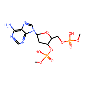 COP(=O)(O)OCC1OC(n2cnc3c(N)ncnc32)CC1OP(=O)(O)OC